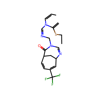 C=C(SCC)N(/C=C\C)/C=N\CN1C=NC2C=C(C(F)(F)F)C=CC(C2)C1=O